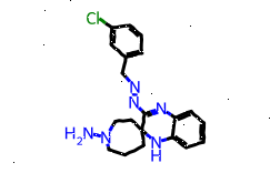 NN1CCCC2(CC1)Nc1ccccc1N=C2N=NCc1cccc(Cl)c1